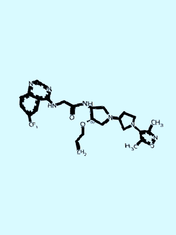 C=CCO[C@H]1CN(C2CCN(c3c(C)noc3C)C2)CC1NC(=O)CNc1ncnc2ccc(C(F)(F)F)cc12